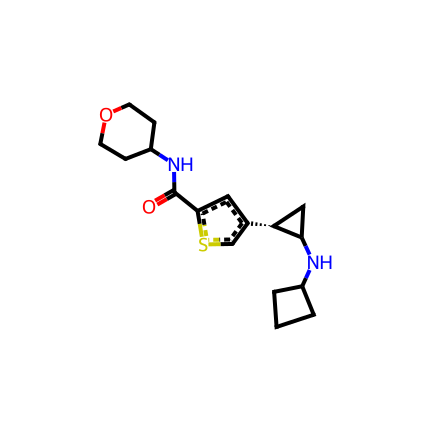 O=C(NC1CCOCC1)c1cc([C@@H]2CC2NC2CCC2)cs1